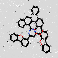 c1ccc(-c2ccc3ccccc3c2-c2ccc3ccccc3c2-c2nc(-c3cccc4c3oc3ccccc34)cc(-c3cccc4c3oc3ccccc34)n2)cc1